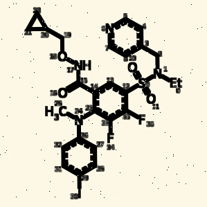 CCN(Cc1ccncc1)S(=O)(=O)c1cc(C(=O)NOCC2CC2)c(N(C)c2ccc(I)cc2)c(F)c1F